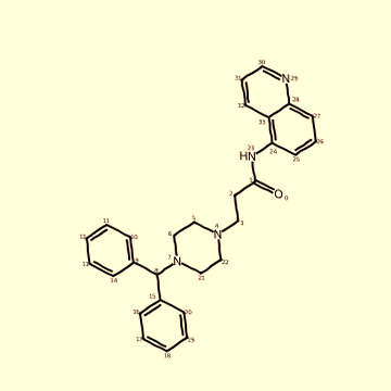 O=C(CCN1CCN(C(c2ccccc2)c2ccccc2)CC1)Nc1cccc2ncccc12